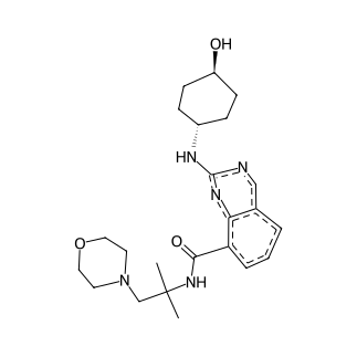 CC(C)(CN1CCOCC1)NC(=O)c1cccc2cnc(N[C@H]3CC[C@H](O)CC3)nc12